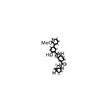 COc1ncccc1-c1ccc(O)c(-c2nc3cc(C(=O)N4C[C@@]56C[C@@H]5CC[C@H]46)ccc3[nH]2)c1